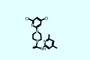 C=C(Nc1cc(C)cc(C)n1)N1CCN(c2cc(Cl)cc(Cl)n2)CC1